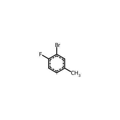 Cc1[c]cc(F)c(Br)c1